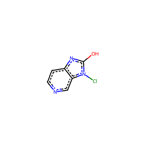 Oc1nc2ccncc2n1Cl